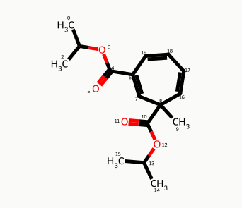 CC(C)OC(=O)C1=CC(C)(C(=O)OC(C)C)C=CC=C1